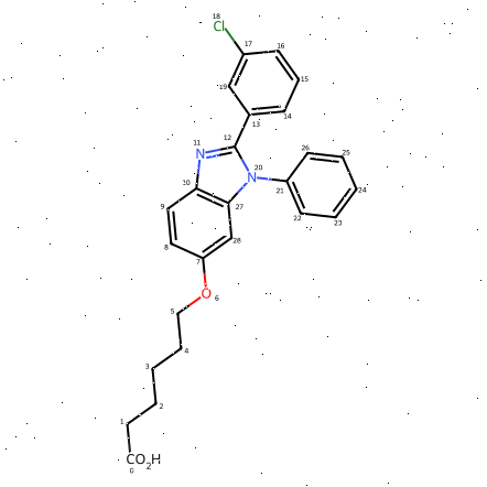 O=C(O)CCCCCOc1ccc2nc(-c3cccc(Cl)c3)n(-c3ccccc3)c2c1